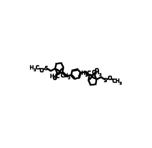 COSCC12CCC(/C(=C\c3ccc(/C=C4/C(=O)C5(CSOC)CCC4C5(C)C)cc3)C1=O)C2(C)C